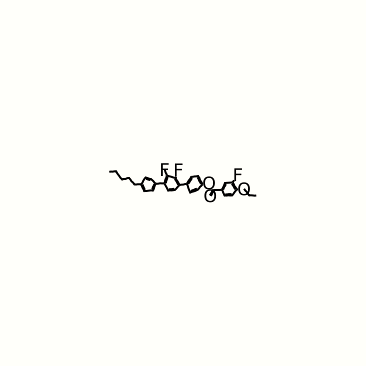 CCCCCc1ccc(-c2ccc(-c3ccc(OC(=O)c4ccc(OCC)c(F)c4)cc3)c(F)c2F)cc1